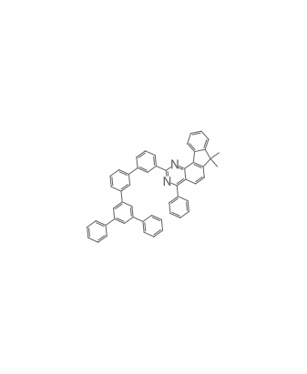 CC1(C)c2ccccc2-c2c1ccc1c(-c3ccccc3)nc(-c3cccc(-c4cccc(-c5cc(-c6ccccc6)cc(-c6ccccc6)c5)c4)c3)nc21